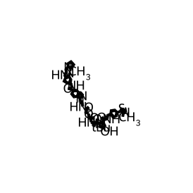 Cc1ncsc1-c1ccc(CNC(=O)[C@@H]2C[C@@H](O)CN2C(=O)C(NC(=O)COCC(=O)NCCn2ncc3cc(C(=O)Nc4ccc5[nH]c(CN6CCC[C@@H]6C)nc5c4)ccc32)C(C)(C)C)cc1